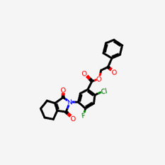 O=C(COC(=O)c1cc(N2C(=O)C3=C(CCCC3)C2=O)c(F)cc1Cl)c1ccccc1